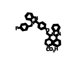 O=C(O)N1CCC(C(COc2ccc(-c3nc4ccccc4n3Cc3ccc(F)cc3)cc2)n2c(-c3ccccc3)nc3ccccc32)CC1